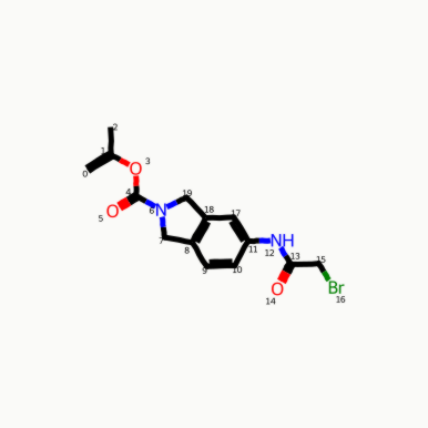 C=C(C)OC(=O)N1Cc2ccc(NC(=O)CBr)cc2C1